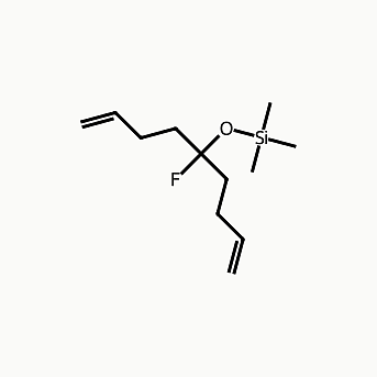 C=CCCC(F)(CCC=C)O[Si](C)(C)C